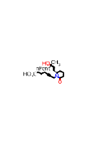 CCCCCC(C)(O)/C=C/[C@H]1CCCC(=O)N1CC#CCCCC(=O)O